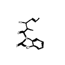 C/C=C/C(O)C(C)C(=O)n1c(=O)oc2ccccc21